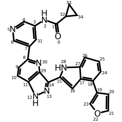 O=C(Nc1cncc(-c2ccc3[nH]nc(-c4cc5c(-c6ccoc6)cccc5[nH]4)c3n2)c1)C1CC1